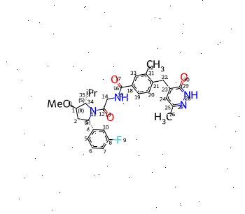 CO[C@@H]1C[C@@H](c2cccc(F)c2)N(C(=O)CNC(=O)c2ccc(Cc3cc(C)n[nH]c3=O)c(C)c2)[C@H]1C(C)C